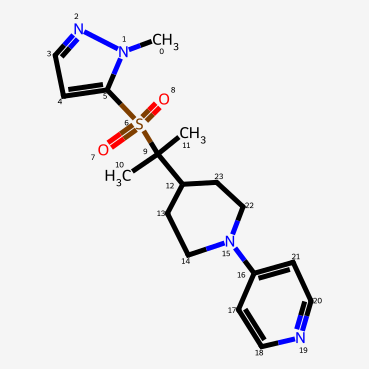 Cn1nccc1S(=O)(=O)C(C)(C)C1CCN(c2ccncc2)CC1